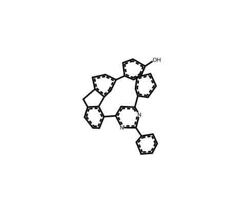 Oc1ccc(-c2ccc3c(c2)-c2c(cccc2-c2cc(-c4ccccc4)nc(-c4ccccc4)n2)C3)cc1